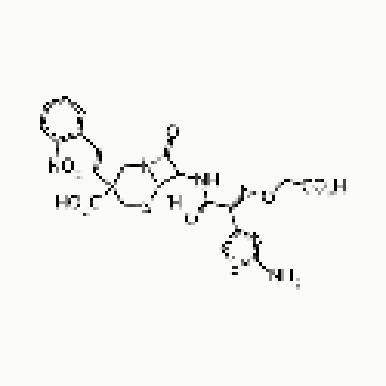 Nc1nc(C(=NOCC(=O)O)C(=O)NC2C(=O)N3CC(C=Cc4ccccc4[N+](=O)[O-])(C(=O)O)CS[C@H]23)cs1